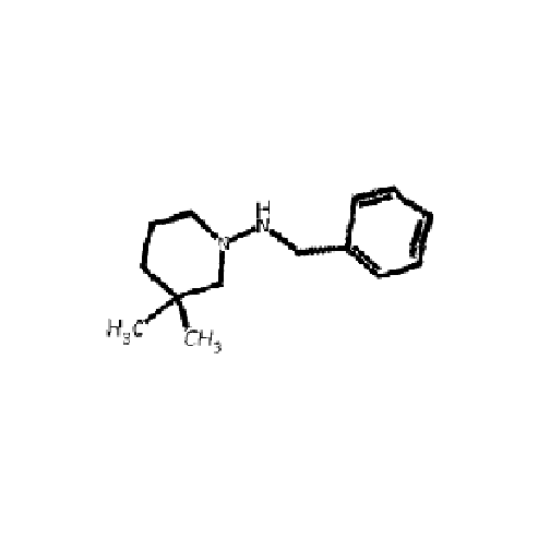 CC1(C)CCCN(NCc2ccccc2)C1